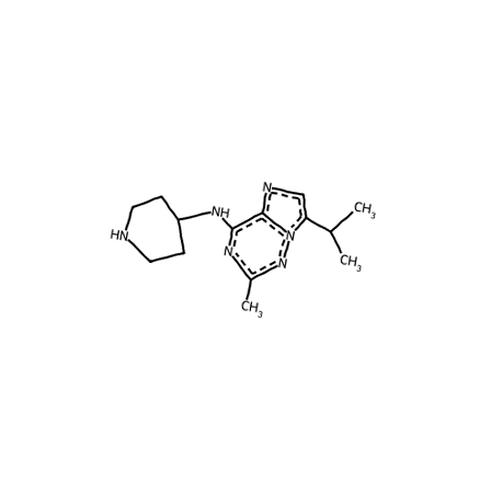 Cc1nc(NC2CCNCC2)c2ncc(C(C)C)n2n1